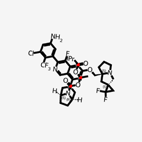 CC(OC(=O)C(C)C)OC(=O)N1[C@@H]2CC[C@H]1CN(c1nc(OC[C@@]34CCCN3C[C@@]3(CC3(F)F)C4)nc3c(F)c(-c4cc(N)cc(Cl)c4C(F)(F)F)ncc13)C2